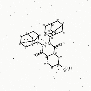 O=C(OC1C2CC3CC(C2)CC1C3)C1CCC(S(=O)(=O)O)CC1C(=O)OC1C2CC3CC(C2)CC1C3